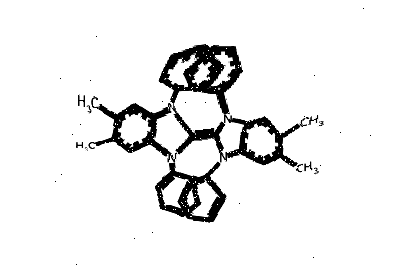 Cc1cc2c(cc1C)N(c1ccccc1)/C(=C1/N(C3=CC=CCC3)c3cc(C)c(C)cc3N1c1ccccc1)N2C1=C=C=CC=C1